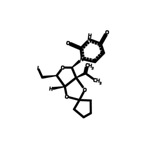 C=C(C)[C@@]12OC3(CCCC3)O[C@@H]1[C@@H](CI)O[C@H]2n1ccc(=O)[nH]c1=O